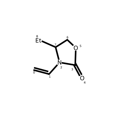 C=CN1C(=O)OCC1CC